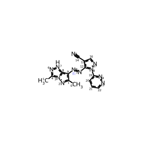 Cc1nn2c(C)n[nH]c2c1/N=N/c1c(C#N)cnn1-c1cccnn1